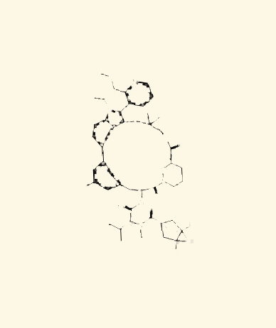 CCn1c(-c2cccnc2[C@H](C)OC)c2c3cc(ccc31)-c1cc(O)cc(c1)C[C@H](NC(=O)[C@H](C(C)C)N(C)C(=O)[C@H]1C[C@@H]3N[C@@H]3C1)C(=O)N1CCC[C@H](N1)C(=O)OCC(C)(C)C2